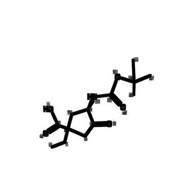 CCC1(C(=O)O)CC(=O)[C@H](NC(=O)OC(C)(C)C)C1